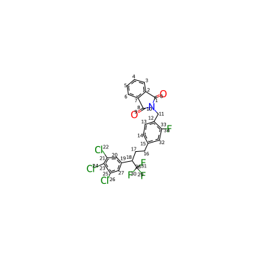 O=C1c2ccccc2C(=O)N1Cc1ccc(CCC(c2cc(Cl)c(Cl)c(Cl)c2)C(F)(F)F)cc1F